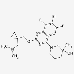 CN(C)CC1(COc2nc(N3CCCC(C)(O)C3)c3cc(F)c(Br)c(F)c3n2)CC1